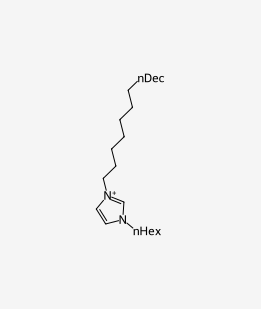 CCCCCCCCCCCCCCCCC[n+]1ccn(CCCCCC)c1